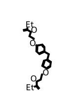 C=C(CC)C(=O)CCOc1ccc(Cc2ccc(OCCC(=O)C(=C)CC)cc2)cc1